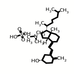 C=C1CC[C@H](O)C/C1=C\C=C1/CCC[C@]2(C)[C@@H](C(C)CCCC(C)C)CC[C@@H]12.CN(C)C.O=S(=O)(O)O